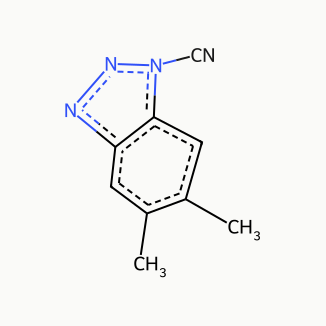 Cc1cc2nnn(C#N)c2cc1C